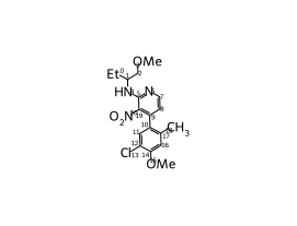 CCC(COC)Nc1nccc(-c2cc(Cl)c(OC)cc2C)c1[N+](=O)[O-]